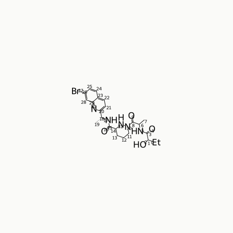 CCC(O)C(=O)NC(C)C(=O)N1CCCC(C(=O)N[C@H](C)c2ccc3ccc(Br)cc3n2)N1